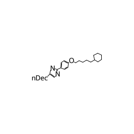 CCCCCCCCCCc1cnc(-c2ccc(OCCCCCC3CCCCC3)cc2)nc1